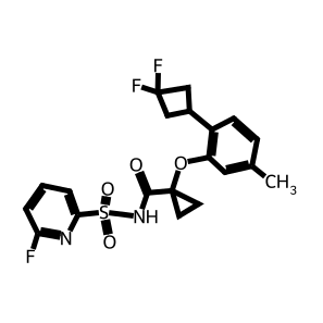 Cc1ccc(C2CC(F)(F)C2)c(OC2(C(=O)NS(=O)(=O)c3cccc(F)n3)CC2)c1